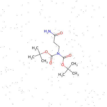 CC(C)(C)OC(=O)N(CCC(N)=O)C(=O)OC(C)(C)C